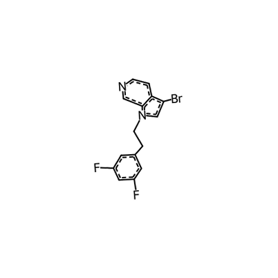 Fc1cc(F)cc(CCn2cc(Br)c3ccncc32)c1